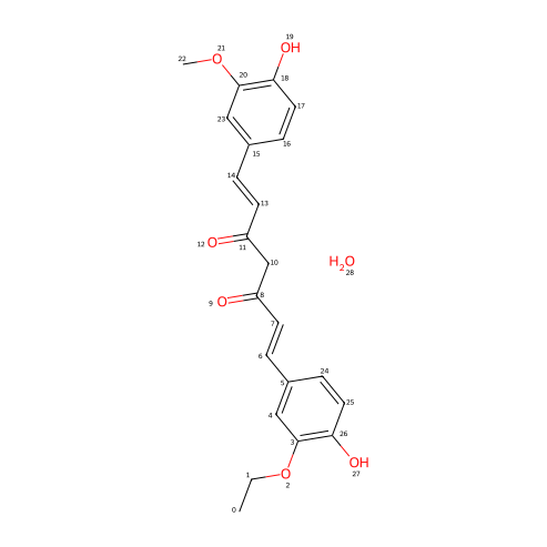 CCOc1cc(/C=C/C(=O)CC(=O)/C=C/c2ccc(O)c(OC)c2)ccc1O.O